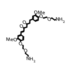 COc1cc(/C=C/C(=O)CC(=O)CCc2ccc(OCCOCCN)c(OC)c2)ccc1OCCOCCN